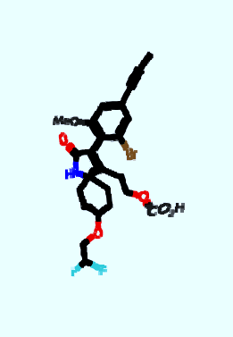 CC#Cc1cc(Br)c(C2=C(CCOC(=O)O)C3(CCC(OCC(F)F)CC3)NC2=O)c(OC)c1